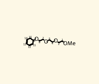 COCCOCCOCCOC1C=CC=CC1